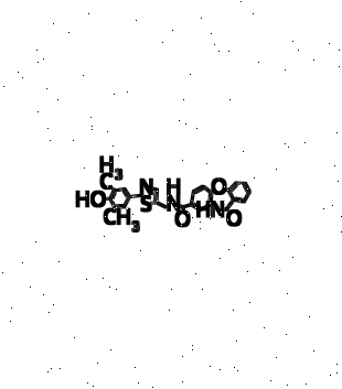 Cc1cc(-c2ncc(CNC(=O)c3ccc4c(c3)NC(=O)c3ccccc3O4)s2)cc(C)c1O